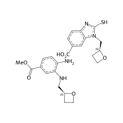 COC(=O)c1ccc(N)c(NC[C@@H]2CCO2)c1.O=C(O)c1ccc2nc(S)n(C[C@@H]3CCO3)c2c1